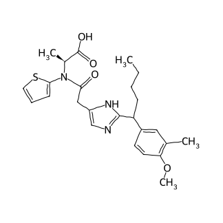 CCCCC(c1ccc(OC)c(C)c1)c1ncc(CC(=O)N(c2cccs2)[C@@H](C)C(=O)O)[nH]1